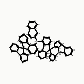 c1ccc2c(c1)-c1ccccc1C21c2ccccc2-c2c(N(c3ccc4ccccc4c3)c3cccc4c3-c3ccccc3C43c4ccccc4-n4c5ccccc5c5cccc3c54)cccc21